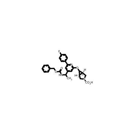 CC(NC(=O)OCc1ccccc1)c1cc(OC2[C@H]3CN(C(=O)O)C[C@@H]23)nc(-c2ccc(F)cc2)c1